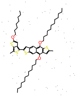 CCCCCCCCCCCCOc1c2cc3sc(-c4sc(C)c5sc(OCCCCCCCC)cc45)cc3cc2c(OCCCCCCCCCCCC)c2sc(C)cc12